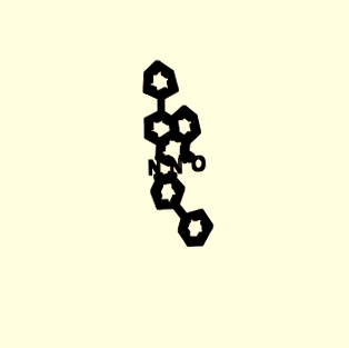 O=c1c2cccc3c(-c4ccccc4)ccc(c32)c2nc3ccc(-c4ccccc4)cc3n12